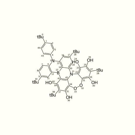 CC(C)(C)c1ccc(N2c3ccc(C(C)(C)C)cc3B3c4c2cc(C(C)(C)C)cc4-n2c4c(O)c(O)c(C(C)(C)C)c(O)c4ooc4c(O)c(C(C)(C)C)c(O)c3c42)cc1